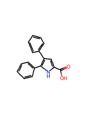 O=C(O)c1cc(-c2ccccc2)c(-c2ccccc2)[nH]1